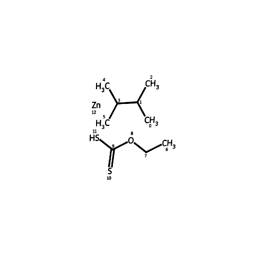 CC(C)C(C)C.CCOC(=S)S.[Zn]